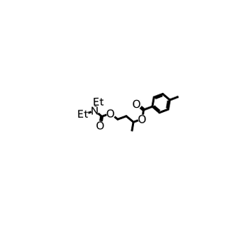 CCN(CC)C(=O)OCCC(C)OC(=O)c1ccc(C)cc1